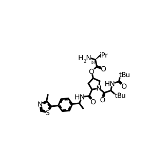 Cc1ncsc1-c1ccc(C(C)NC(=O)C2CC(OC(=O)[C@@H](N)C(C)C)CN2C(=O)C(NC(=O)C(C)(C)C)C(C)(C)C)cc1